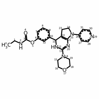 CCNC(=O)Oc1cccc(C2NC(N3CCOCC3)=NC3=C2CCN3c2ccncc2)c1